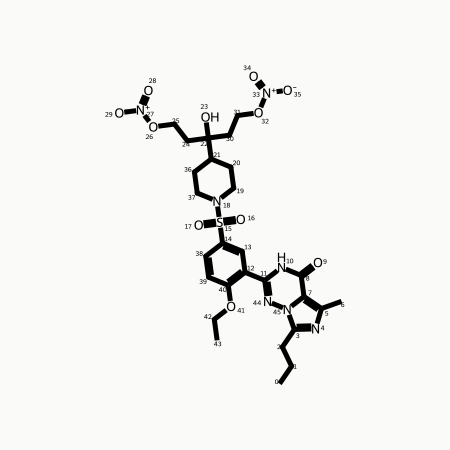 CCCc1nc(C)c2c(=O)[nH]c(-c3cc(S(=O)(=O)N4CCC(C(O)(CCO[N+](=O)[O-])CCO[N+](=O)[O-])CC4)ccc3OCC)nn12